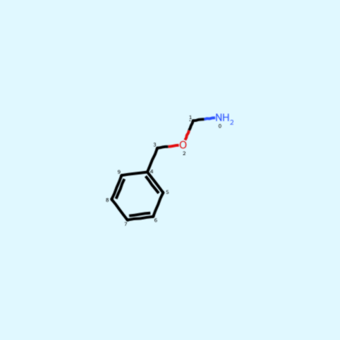 N[CH]OCc1ccccc1